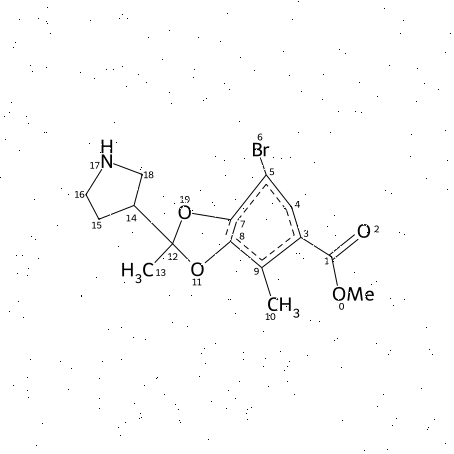 COC(=O)c1cc(Br)c2c(c1C)OC(C)(C1CCNC1)O2